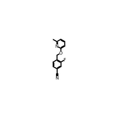 Cc1cccc(OCc2ccc(C#N)cc2F)n1